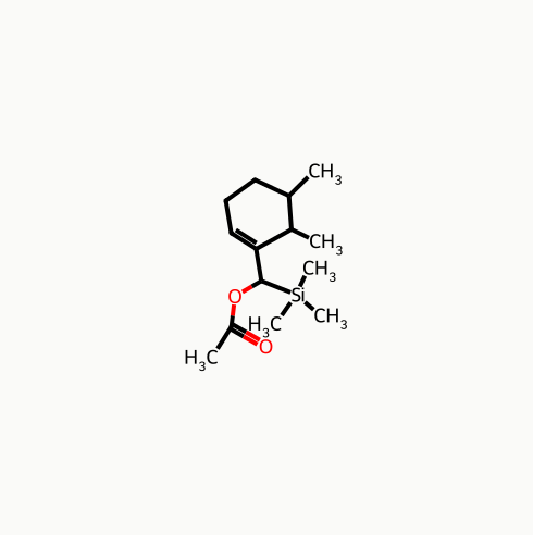 CC(=O)OC(C1=CCCC(C)C1C)[Si](C)(C)C